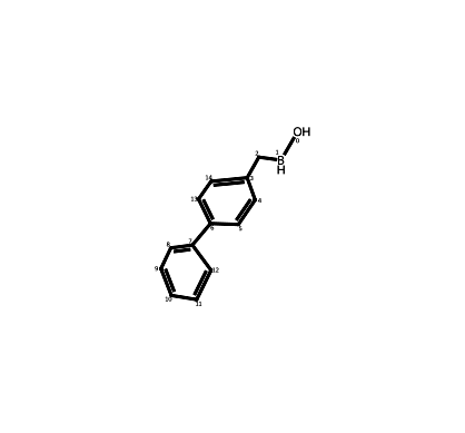 OBCc1ccc(-c2ccccc2)cc1